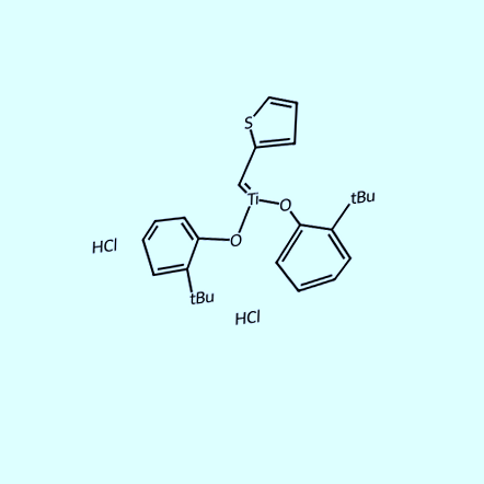 CC(C)(C)c1ccccc1[O][Ti](=[CH]c1cccs1)[O]c1ccccc1C(C)(C)C.Cl.Cl